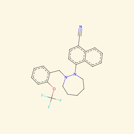 N#Cc1ccc(N2CCCCCN2Cc2ccccc2OC(F)(F)F)c2ccccc12